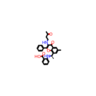 CC(=O)CCNc1c(-c2ccccc2)oc2c([C@@H](C)Nc3ccccc3C(=O)O)cc(C)cc2c1=O